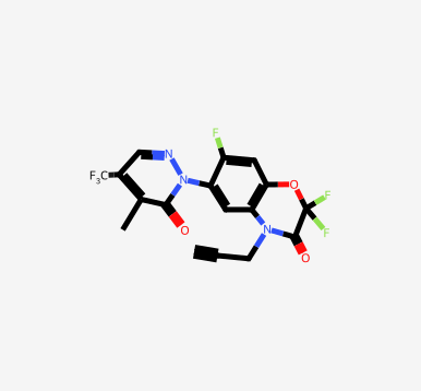 C#CCN1C(=O)C(F)(F)Oc2cc(F)c(-n3ncc(C(F)(F)F)c(C)c3=O)cc21